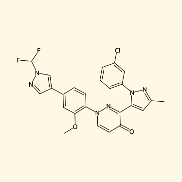 COc1cc(-c2cnn(C(F)F)c2)ccc1-n1ccc(=O)c(-c2cc(C)nn2-c2cccc(Cl)c2)n1